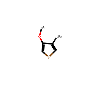 CCCOc1cscc1C(C)(C)C